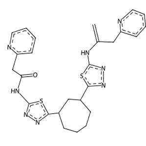 C=C(Cc1ccccn1)Nc1nnc(C2CCCCC(c3nnc(NC(=O)Cc4ccccn4)s3)C2)s1